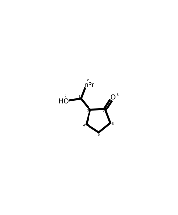 CCCC(O)C1CCCC1=O